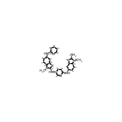 Cn1c(N)nc2cc(Nc3cc[n+](Nc4nc5cc(Nc6ncccn6)ccc5n4C)cn3)ccc21